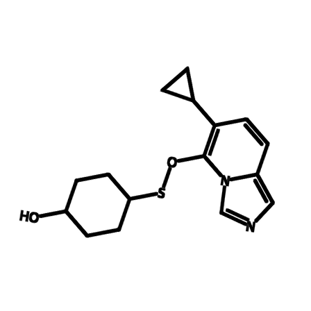 OC1CCC(SOc2c(C3CC3)ccc3cncn23)CC1